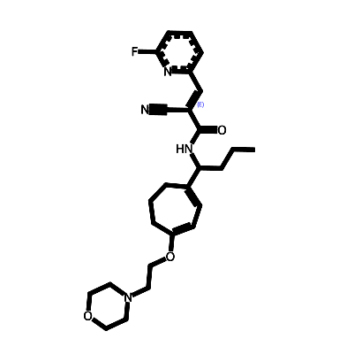 CCCC(NC(=O)/C(C#N)=C/c1cccc(F)n1)C1=CC=C(OCCN2CCOCC2)CCC1